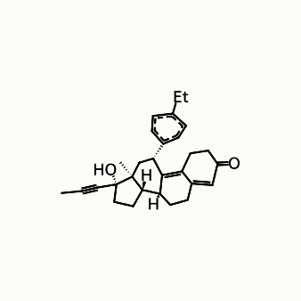 CC#C[C@]1(O)CC[C@H]2[C@@H]3CCC4=CC(=O)CCC4=C3[C@@H](c3ccc(CC)cc3)C[C@@]21C